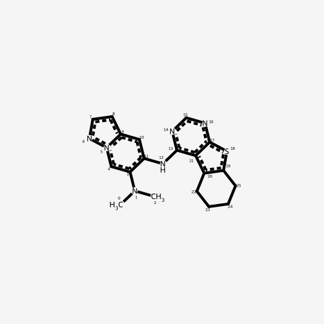 CN(C)c1cn2nccc2cc1Nc1ncnc2sc3c(c12)CCCC3